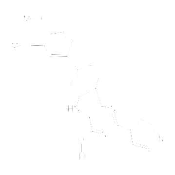 CCOC1=NC(c2ccncc2)=NC2c3ccc(-c4ccc(OC)c(OC)c4)cc3NC12